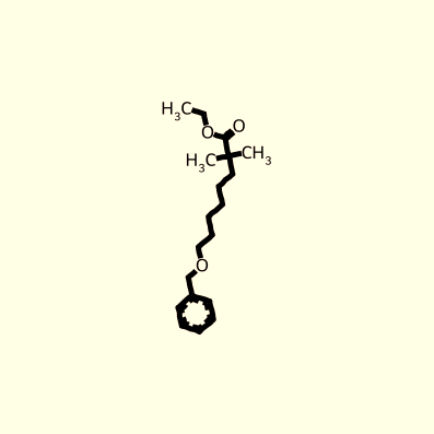 CCOC(=O)C(C)(C)CCCCCCOCc1ccccc1